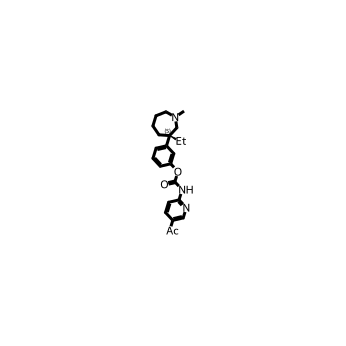 CC[C@@]1(c2cccc(OC(=O)Nc3ccc(C(C)=O)cn3)c2)CCCCN(C)C1